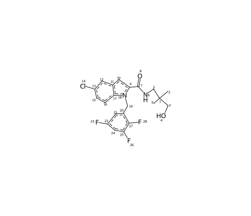 CC(C)(CO)CNC(=O)c1cc2cc(Cl)ccc2n1Cc1cc(F)cc(F)c1F